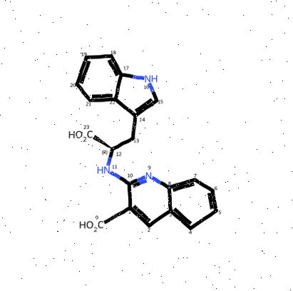 O=C(O)c1cc2ccccc2nc1N[C@H](Cc1c[nH]c2ccccc12)C(=O)O